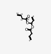 C=CCC(=O)OC(C=C)OC(=O)CC=C